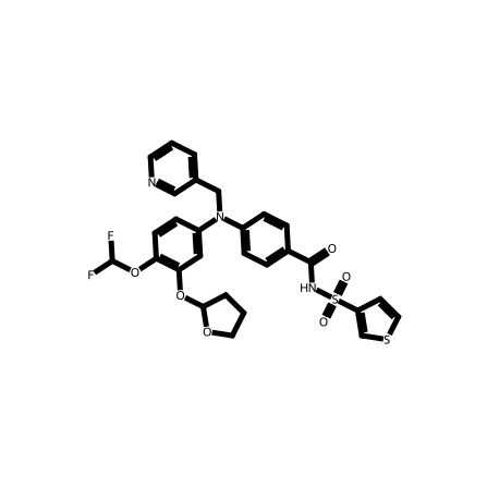 O=C(NS(=O)(=O)c1ccsc1)c1ccc(N(Cc2cccnc2)c2ccc(OC(F)F)c(OC3CCCO3)c2)cc1